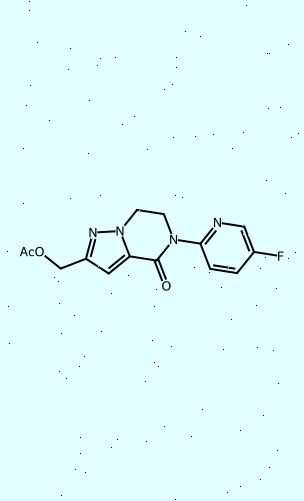 CC(=O)OCc1cc2n(n1)CCN(c1ccc(F)cn1)C2=O